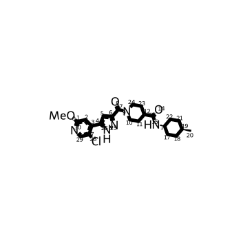 COc1cc(-c2cc(C(=O)N3CCC(C(=O)N[C@H]4CC[C@H](C)CC4)CC3)n[nH]2)c(Cl)cn1